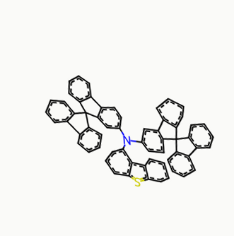 c1ccc2c(c1)-c1ccccc1C21c2ccccc2-c2cc(N(c3ccc4c(c3)C3(c5ccccc5-c5ccccc53)c3ccccc3-4)c3cccc4sc5ccccc5c34)ccc21